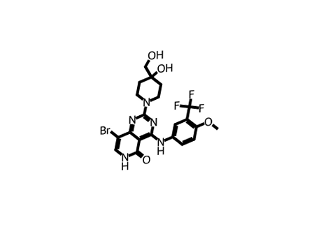 COc1ccc(Nc2nc(N3CCC(O)(CO)CC3)nc3c(Br)c[nH]c(=O)c23)cc1C(F)(F)F